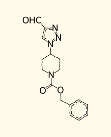 O=Cc1cn(C2CCN(C(=O)OCc3ccccc3)CC2)nn1